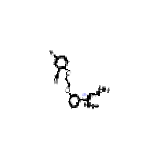 CN/C(=C\C=N)c1cccc(OCCOc2ccc(F)cc2C#N)c1